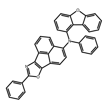 c1ccc(-c2nc3c(o2)-c2ccc(N(c4ccccc4)c4cccc5oc6ccccc6c45)c4cccc-3c24)cc1